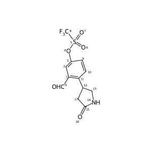 O=Cc1cc(OS(=O)(=O)C(F)(F)F)ccc1C1CNC(=O)C1